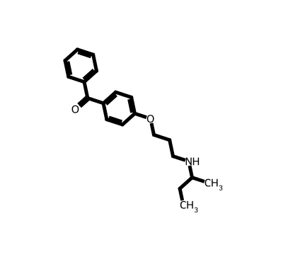 CCC(C)NCCCOc1ccc(C(=O)c2ccccc2)cc1